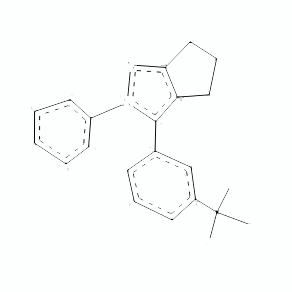 FC(F)(F)c1cccc(-c2c3c(nn2-c2cc[c]cc2)CCC3)c1